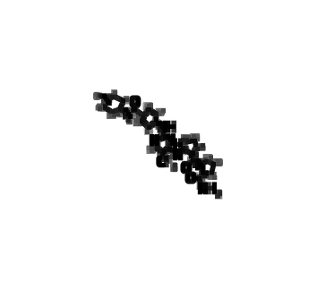 CN1CCC(N(C)C(=O)c2ccc(Nc3ncc(C(F)(F)F)c(N[C@@H]4CCC[C@@H]4C(=O)N4CCC[C@@H]4C(N)=O)n3)cc2)CC1